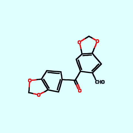 O=Cc1cc2c(cc1C(=O)c1ccc3c(c1)OCO3)OCO2